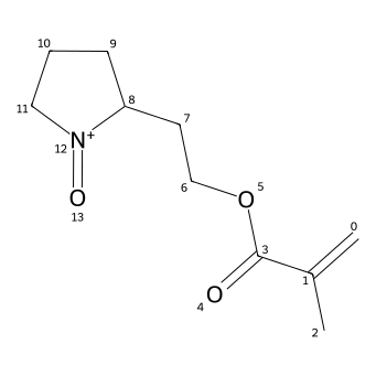 C=C(C)C(=O)OCCC1CCC[N+]1=O